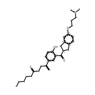 C=C(CCC(=O)CCCCC)c1ccc(O)c(C(=O)C2Cc3ccc(OCCCN(C)C)cc3C2)c1